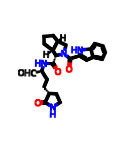 O=C[C@H](CC[C@@H]1CCNC1=O)NC(=O)[C@@H]1[C@H]2CCC[C@H]2CN1C(=O)c1cc2ccccc2[nH]1